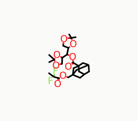 CC1(C)OCC(C(OC(=O)C23CC4CC(CC(COC(=O)C(C)(F)F)(C4)C2)C3)C2COC(C)(C)O2)O1